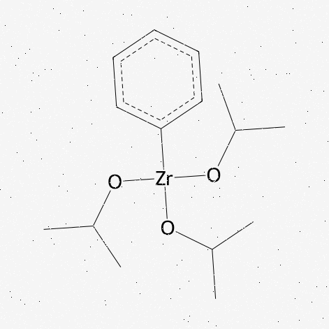 CC(C)[O][Zr]([O]C(C)C)([O]C(C)C)[c]1ccccc1